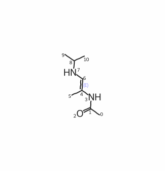 CC(=O)N/C(C)=C/NC(C)C